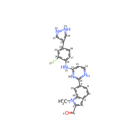 Cn1c(C=O)cc2ccc(-c3nccc(Nc4ccc(-c5cn[nH]c5)cc4F)n3)cc21